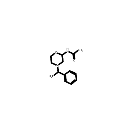 CC(=O)NC1CN(C(C)c2ccccc2)CCO1